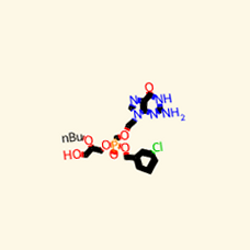 CCCCOC(CO)COP(=O)(COCCn1cnc2c(=O)[nH]c(N)nc21)OCc1cccc(Cl)c1